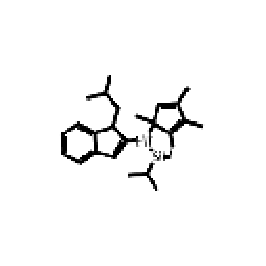 CC1=C[C](C)([Hf]([C]2=Cc3ccccc3C2CC(C)C)[SiH](C)C(C)C)C(C)=C1C